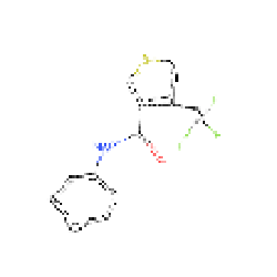 O=C(Nc1ccccc1)c1cscc1C(F)(F)F